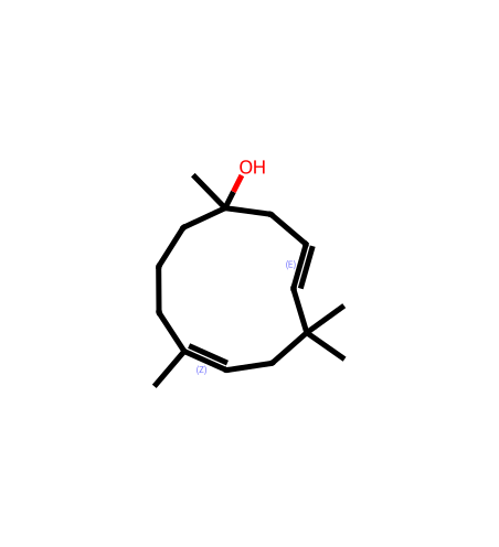 C/C1=C/CC(C)(C)/C=C/CC(C)(O)CCC1